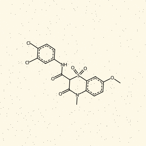 COc1ccc2c(c1)S(=O)(=O)C(C(=O)Nc1ccc(Cl)c(Cl)c1)C(=O)N2C